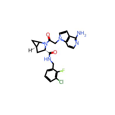 Nc1nccc2c1ccn2CC(=O)N1C2C[C@@H]2C[C@H]1C(=O)NCc1cccc(Cl)c1F